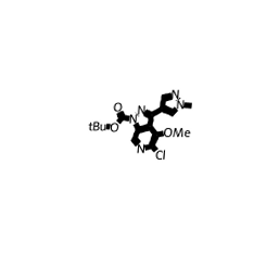 COc1c(Cl)ncc2c1c(-c1cnn(C)c1)nn2C(=O)OC(C)(C)C